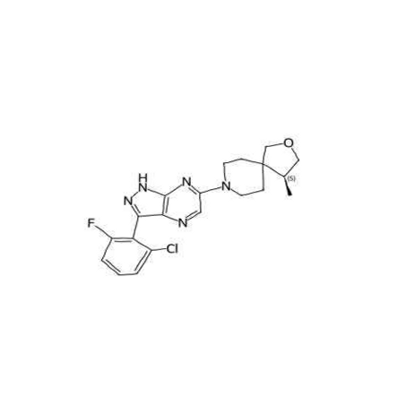 C[C@@H]1COCC12CCN(c1cnc3c(-c4c(F)cccc4Cl)n[nH]c3n1)CC2